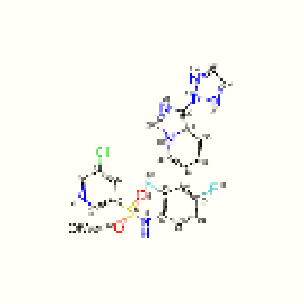 COc1ncc(Cl)cc1S(=O)(=O)Nc1ccc(F)c(-c2ccc3c(-n4nccn4)ncn3c2)c1F